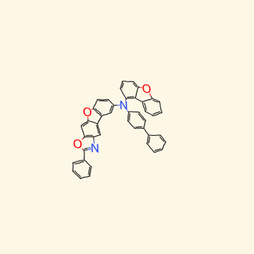 c1ccc(-c2ccc(N(c3ccc4oc5cc6oc(-c7ccccc7)nc6cc5c4c3)c3cccc4oc5ccccc5c34)cc2)cc1